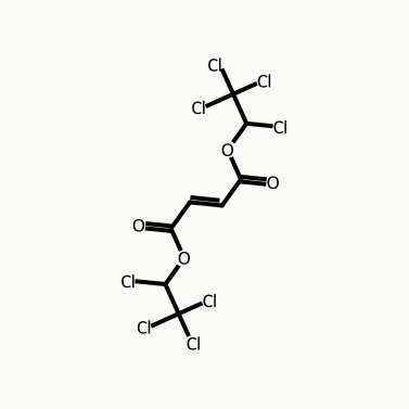 O=C(/C=C/C(=O)OC(Cl)C(Cl)(Cl)Cl)OC(Cl)C(Cl)(Cl)Cl